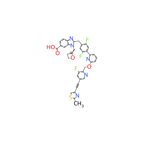 Cc1nc(C#Cc2cnc(COc3cccc(-c4cc(F)c(Cc5nc6ccc(C(=O)O)cc6n5C[C@@H]5CCO5)cc4F)n3)c(F)c2)cs1